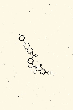 Cc1ccc(C(=O)NC2CCc3ccc(C(=O)N4CCC5(CC4)CCN(c4ccncc4)CC5)cc32)c(F)c1